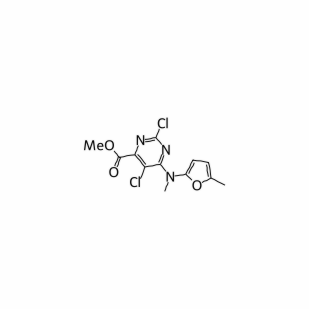 COC(=O)c1nc(Cl)nc(N(C)c2ccc(C)o2)c1Cl